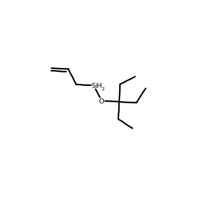 C=CC[SiH2]OC(CC)(CC)CC